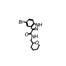 O=C(NCC1CCCCO1)c1n[nH]c2ccc(Br)cc12